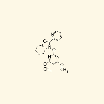 COc1cc(OC)nc(ON2C3=C(CCCC3)OC2c2ccccn2)n1